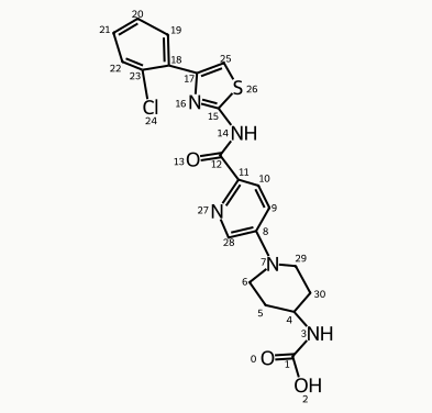 O=C(O)NC1CCN(c2ccc(C(=O)Nc3nc(-c4ccccc4Cl)cs3)nc2)CC1